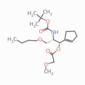 CCCCOC[C@H](NC(=O)OC(C)(C)C)[C@H](OC(=O)COC)C1=CCCC1